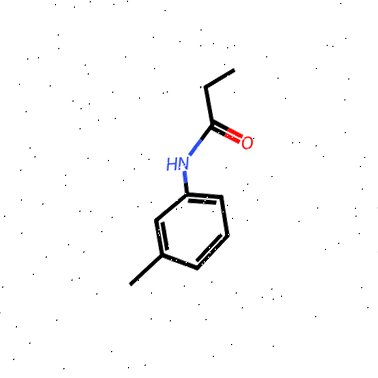 C[CH]C(=O)Nc1cccc(C)c1